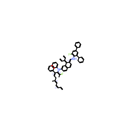 C=C/C=C\C=C(/C)C/C=C(\C(=C(/C)F)N(c1ccccc1)c1ccc2cc/c(=C\Nc3c(F)cc(-c4ccccc4)cc3C3C=CC=CC3)c(=C(C=C)C=C)c2c1)c1ccccc1